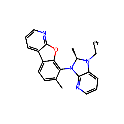 Cc1ccc2c(oc3ncccc32)c1N1c2ncccc2N(CC(C)C)[C@@H]1C